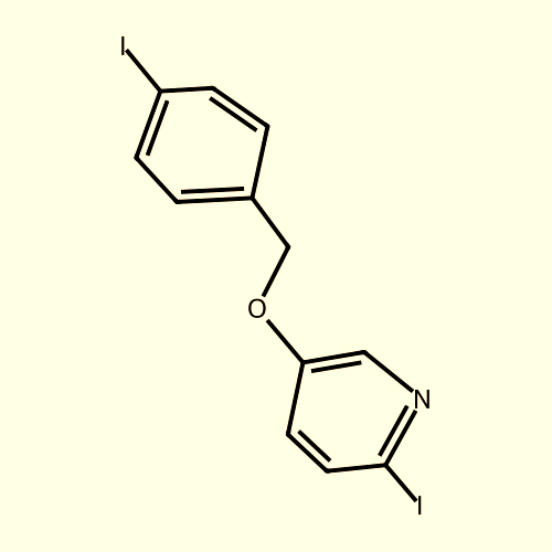 Ic1ccc(COc2ccc(I)nc2)cc1